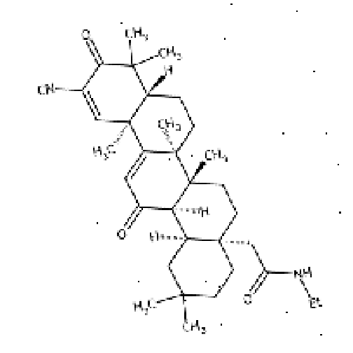 [C-]#[N+]C1=C[C@]2(C)C3=CC(=O)[C@@H]4[C@@H]5CC(C)(C)CC[C@]5(CC(=O)NCC)CC[C@@]4(C)[C@]3(C)CC[C@H]2C(C)(C)C1=O